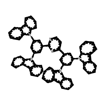 c1ccc2c(c1)c1ccccc1n2-c1cc(-c2ccnc(-c3cc(-n4c5ccccc5c5ccccc54)cc(-n4c5ccccc5c5ccccc54)c3)n2)cc(-n2c3ccccc3c3ccccc32)c1